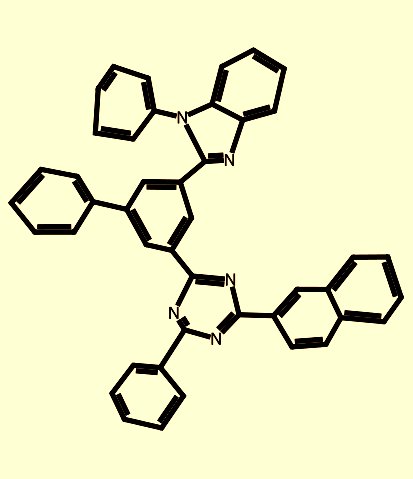 c1ccc(-c2cc(-c3nc(-c4ccccc4)nc(-c4ccc5ccccc5c4)n3)cc(-c3nc4ccccc4n3-c3ccccc3)c2)cc1